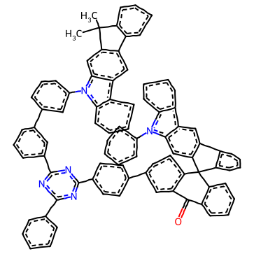 CC1(C)c2ccccc2-c2cc3c4ccccc4n(-c4cccc(-c5cccc(-c6nc(-c7ccccc7)nc(-c7ccc(-c8ccc9c(c8)C(=O)c8ccccc8C98c9ccccc9-c9cc%10c%11ccccc%11n(-c%11ccccc%11)c%10cc98)cc7)n6)c5)c4)c3cc21